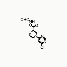 O=CNOC(=O)[C@@H]1CN(c2cc(Cl)ncn2)CCO1